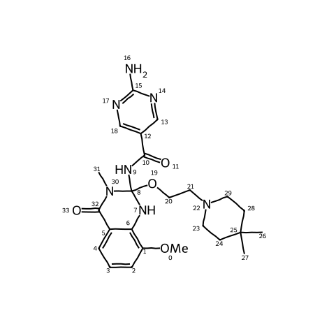 COc1cccc2c1NC(NC(=O)c1cnc(N)nc1)(OCCN1CCC(C)(C)CC1)N(C)C2=O